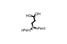 CCCCCN(CCCCC)CCC(O)O